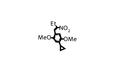 CCC(=Cc1cc(OC)c(C2CC2)cc1OC)[N+](=O)[O-]